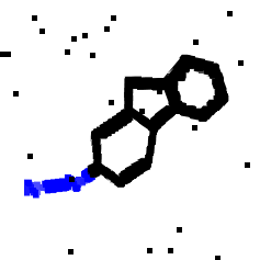 [N-]=[N+]=C1C=CC2=c3ccccc3=CC2=C1